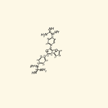 CC(C)N(C(=N)N)c1ccc(-c2ccc(-c3ccc(N(C(=N)N)C(C)C)cc3)o2)cc1.c1ccoc1